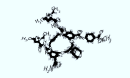 CCn1nc(C)cc1C(=O)Nc1nc2cc(C(N)=O)cc3c2n1C/C=C/Cn1c(NC(=O)c2cc(C)nn2CC)nc2cc(C(=O)N[C@H]4CC[C@H](C(=O)OC)CC4)cc(c21)OC[C@@H](N1C2CCC1COC2)CO3